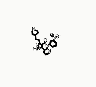 O=c1c2c(CCc3ccncc3)n[nH]c2c2cccnc2n1-c1cccc([N+](=O)[O-])c1